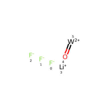 [F-].[F-].[F-].[Li+].[O]=[W+2]